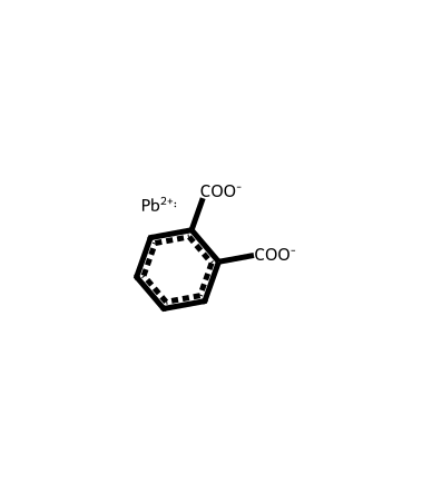 O=C([O-])c1ccccc1C(=O)[O-].[Pb+2]